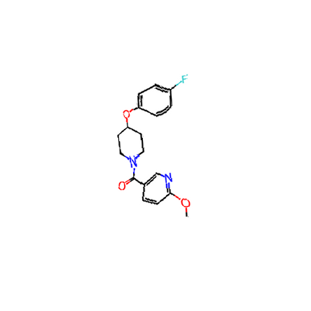 COc1ccc(C(=O)N2CCC(Oc3ccc(F)cc3)CC2)cn1